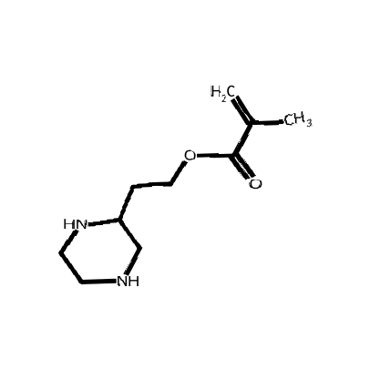 C=C(C)C(=O)OCCC1CNCCN1